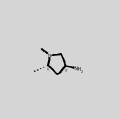 C[C@H]1C[C@H](N)CN1C